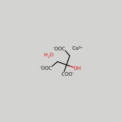 O.O=C([O-])CC(O)(CC(=O)[O-])C(=O)[O-].[Co+3]